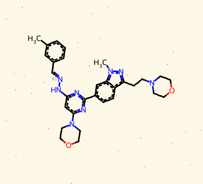 Cc1cccc(/C=N/Nc2cc(N3CCOCC3)nc(-c3ccc4c(CCN5CCOCC5)nn(C)c4c3)n2)c1